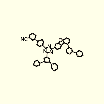 N#Cc1cccc(-c2ccc(-c3nc(-c4cc(-c5ccccc5)cc(-c5ccccc5)c4)nc(-c4ccc5c(c4)oc4cccc(-c6cccc(-c7ccccc7)c6)c45)n3)cc2)c1